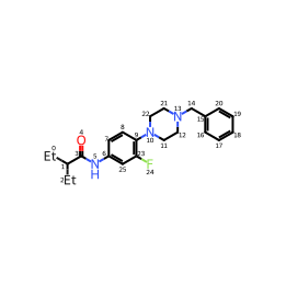 CCC(CC)C(=O)Nc1ccc(N2CCN(Cc3ccccc3)CC2)c(F)c1